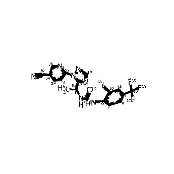 C[C@H](NC(=O)Nc1ccc(C(F)(F)F)cc1I)c1ncnn1-c1ccc(C#N)cn1